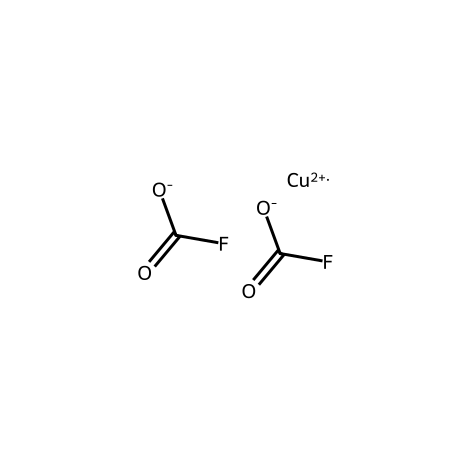 O=C([O-])F.O=C([O-])F.[Cu+2]